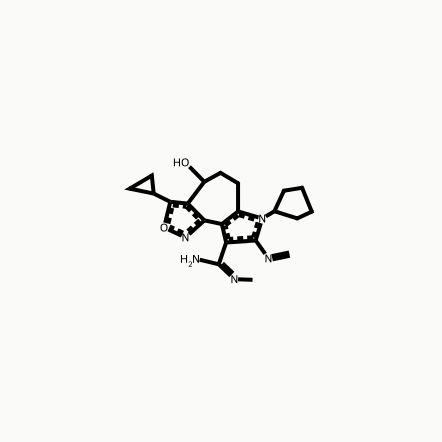 C=Nc1c(/C(N)=N\C)c2c(n1C1CCCC1)CCC(O)c1c-2noc1C1CC1